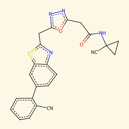 N#Cc1ccccc1-c1ccc2nc(Cc3nnc(CC(=O)NC4(C#N)CC4)o3)sc2c1